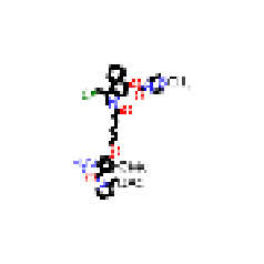 COc1cc(C(=O)N2CCCC2COC(C)=O)c(N)cc1OCCCCCC(=O)N1CC(CCl)c2c1cc(OC(=O)N1CCN(C)CC1)c1ccccc21